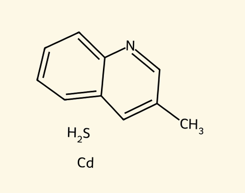 Cc1cnc2ccccc2c1.S.[Cd]